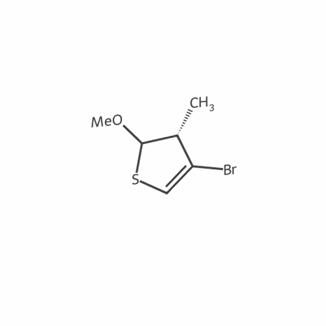 COC1SC=C(Br)[C@H]1C